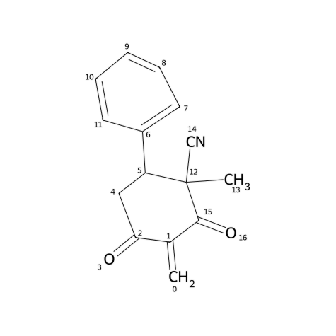 C=C1C(=O)CC(c2ccccc2)C(C)(C#N)C1=O